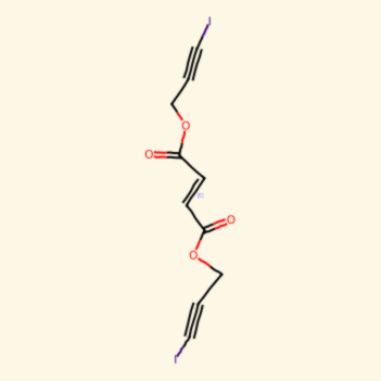 O=C(/C=C/C(=O)OCC#CI)OCC#CI